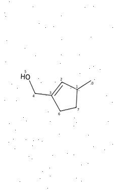 CC1C=C(CO)CC1